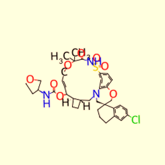 CC1(C)OC/C=C/[C@H](OC(=O)N[C@H]2CCOC2)[C@@H]2CC[C@H]2CN2C[C@@]3(CCCc4cc(Cl)ccc43)COc3ccc(cc32)S(=O)(=O)NC1=O